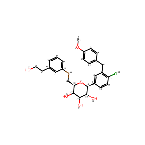 CCOc1ccc(Cc2cc([C@@H]3O[C@H](CSc4cccc(CCO)c4)C(O)[C@H](O)[C@H]3O)ccc2Cl)cc1